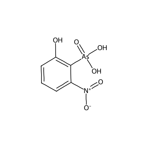 O=[N+]([O-])c1cccc(O)c1[As](=O)(O)O